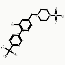 CCc1cc(CN2CCN(S(=O)(=O)CC)CC2)ccc1-c1ccc(C(O)(C(F)(F)F)C(F)(F)F)cc1